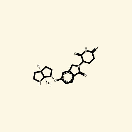 C[C@]12NCC[C@H]1CC[C@@H]2Oc1ccc2c(c1)CN(C1CCC(=O)NC1=O)C2=O